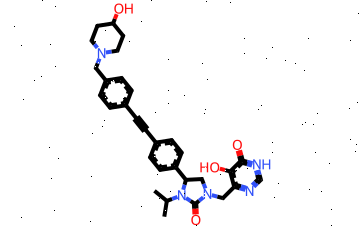 CC(C)N1C(=O)N(Cc2nc[nH]c(=O)c2O)CC1c1ccc(C#Cc2ccc(CN3CCC(O)CC3)cc2)cc1